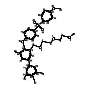 COCCOCCOCc1cc(-c2cc(C)c(C)c(C)c2)cc(C)c1Oc1ccc(S(=O)(=O)c2ccc(OC)cc2)cc1